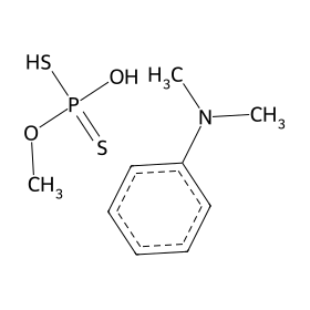 CN(C)c1ccccc1.COP(O)(=S)S